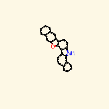 c1ccc2cc3c(cc2c1)oc1c3ccc2[nH]c3c4ccccc4ccc3c21